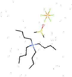 CCCC[N+](CCCC)(CCCC)CCCC.C[S+](C)[O-].F[P-](F)(F)(F)(F)F